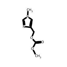 COC(=O)OCc1cn(C)cn1